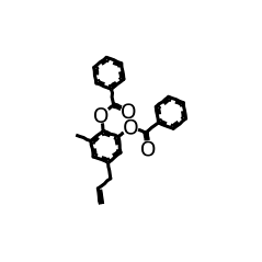 C=CCc1cc(C)c(OC(=O)c2ccccc2)c(OC(=O)c2ccccc2)c1